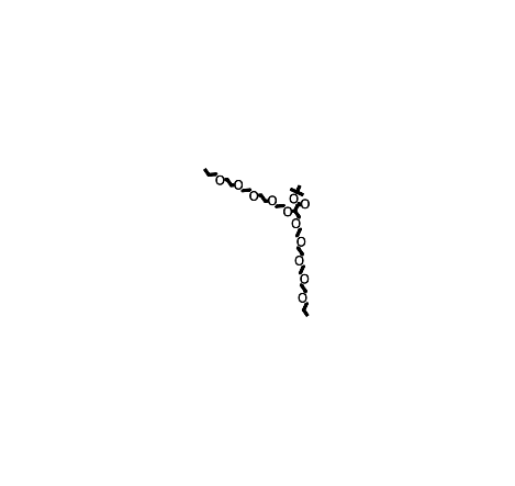 CCCOCCOCCOCCOCCOCC(OCCOCCOCCOCCOCCC)C(=O)OC(C)(C)C